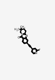 CC1(C)CCc2nc3cc(C#Cc4ccnc(F)c4)ccc3c(=O)n2C1